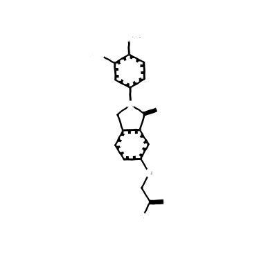 COc1ccc(N2Cc3ccc(NCC(N)=O)cc3C2=O)cc1OC